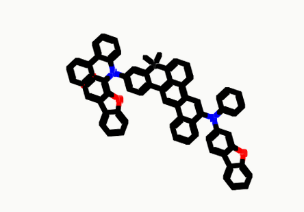 C[Si]1(C)c2cc(N(c3ccccc3-c3ccccc3)c3cccc4c3oc3ccccc34)ccc2-c2cc3c4ccccc4c(N(c4ccccc4)c4ccc5c(c4)oc4ccccc45)cc3c3cccc1c23